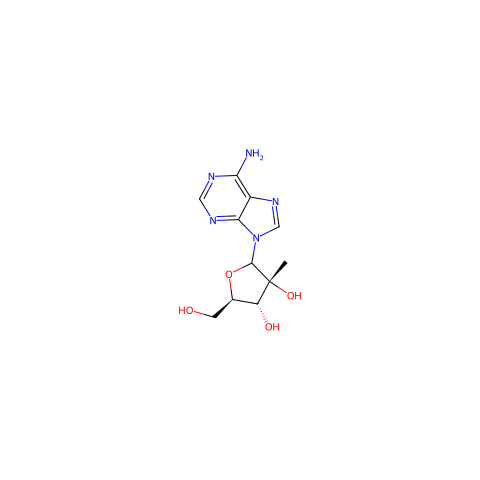 C[C@]1(O)C(n2cnc3c(N)ncnc32)O[C@H](CO)[C@H]1O